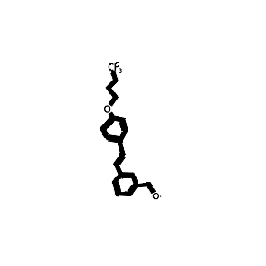 [O]Cc1cccc(C=Cc2ccc(OCCCC(F)(F)F)cc2)c1